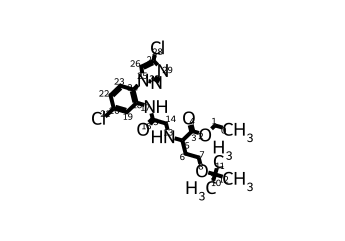 CCOC(=O)C(CCOC(C)(C)C)NCC(=O)Nc1cc(Cl)ccc1-n1cc(Cl)nn1